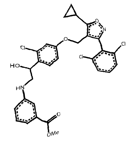 COC(=O)c1cccc(NCC(O)c2ccc(OCc3c(-c4c(Cl)cccc4Cl)noc3C3CC3)cc2Cl)c1